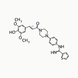 COc1cc(/C=C/C(=O)N2CCN(c3ccc(NC(=N)c4cccs4)cc3)CC2)cc(OC)c1O